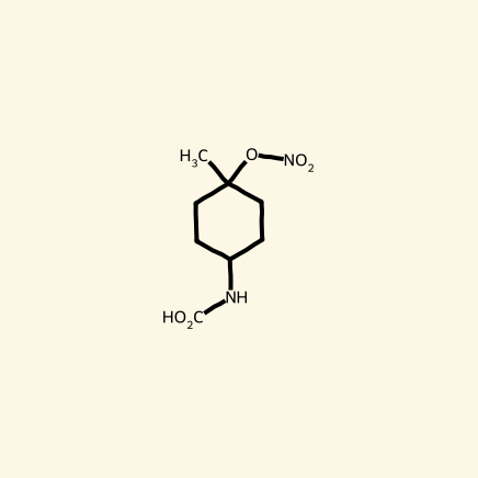 CC1(O[N+](=O)[O-])CCC(NC(=O)O)CC1